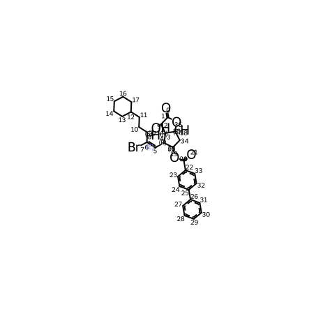 O=C1C[C@@H]2[C@H](/C=C(/Br)[C@@H](O)CCC3CCCCC3)[C@H](OC(=O)c3ccc(-c4ccccc4)cc3)C[C@@H]2O1